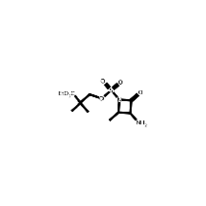 CCOC(=O)C(C)(C)COS(=O)(=O)N1C(=O)C(N)C1C